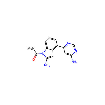 CNC(=O)n1c(N)cc2c(-c3cc(N)ncn3)cccc21